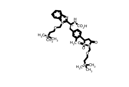 Cc1cc(C[C@H](NC(=O)O)c2nc3ccccc3n2COCC[Si](C)(C)C)ccc1C1CC(=O)N(COCC[Si](C)(C)C)S1(=O)=O